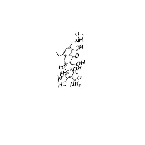 CCc1cc(CNC(C)=O)c(O)c2c1C[C@H]1C[C@H]3C(N(C)C)C(O)=C(C(N)=O)C(=O)[C@]3(O)C(O)=C1C2=O